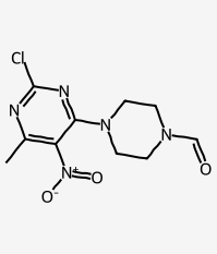 Cc1nc(Cl)nc(N2CCN(C=O)CC2)c1[N+](=O)[O-]